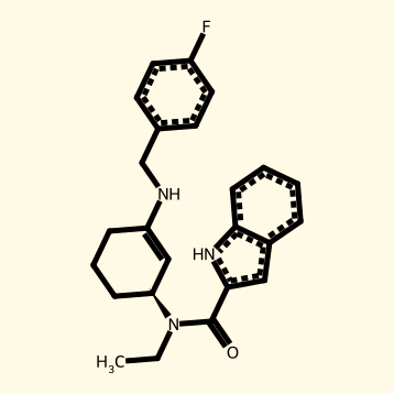 CCN(C(=O)c1cc2ccccc2[nH]1)[C@@H]1C=C(NCc2ccc(F)cc2)CCC1